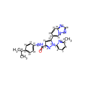 Cc1cccc(-n2nc(C(=O)Nc3ccc(C(C)C)cc3)cc2-c2ccc3ncnn3c2)n1